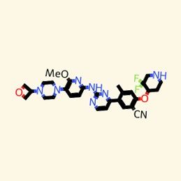 COc1nc(Nc2nccc(-c3cc(C#N)c(OC4CCNCC4(F)F)cc3C)n2)ccc1N1CCN(C2COC2)CC1